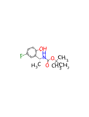 C[C@@H](NC(=O)OC(C)(C)C)c1cc(F)ccc1O